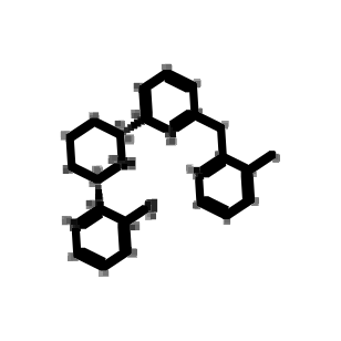 Cc1cccnc1Cc1cccc([C@H]2CCC[C@@H](c3ncccc3Cl)N2)n1